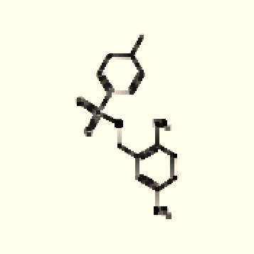 Cc1ccc(S(=O)(=O)OCc2cc([N+](=O)[O-])ccc2[N+](=O)[O-])cc1